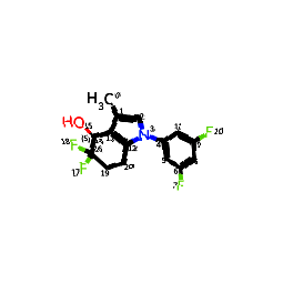 Cc1cn(-c2cc(F)cc(F)c2)c2c1[C@H](O)C(F)(F)CC2